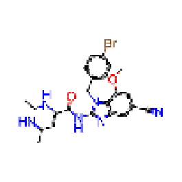 CCN/C(=C\C(C)=N)C(=O)Nc1nc2cc(C#N)cc(OC)c2n1Cc1ccc(Br)cc1